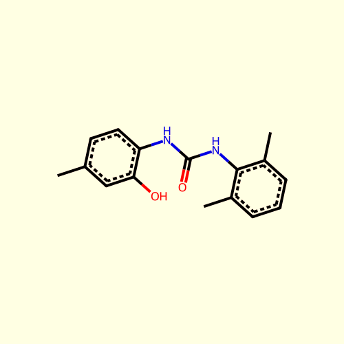 Cc1ccc(NC(=O)Nc2c(C)cccc2C)c(O)c1